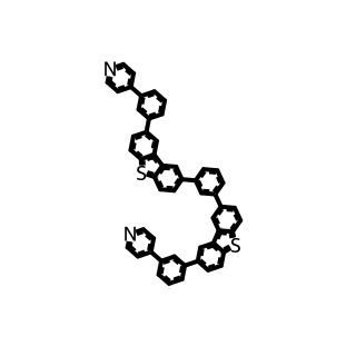 c1cc(-c2ccncc2)cc(-c2ccc3sc4ccc(-c5cccc(-c6ccc7sc8ccc(-c9cccc(-c%10ccncc%10)c9)cc8c7c6)c5)cc4c3c2)c1